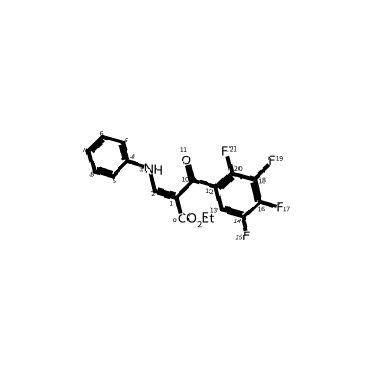 CCOC(=O)/C(=C/Nc1ccccc1)C(=O)c1cc(F)c(F)c(F)c1F